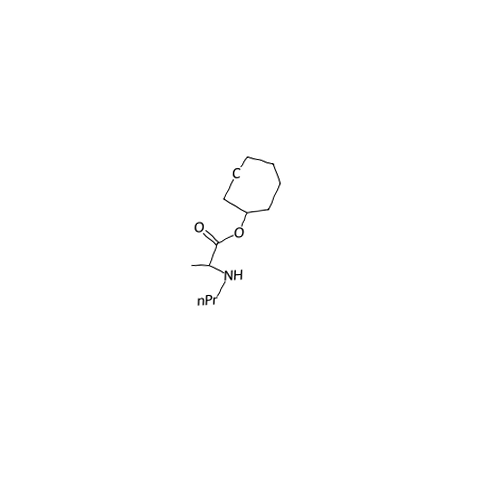 CCCNC(C)C(=O)OC1CCCCCC1